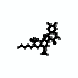 CCCCCN(Cc1nc2oc(-c3ccc(C)c(C)c3)c(C(=O)NC)c2cc1C1CC1)[SH](=O)=O